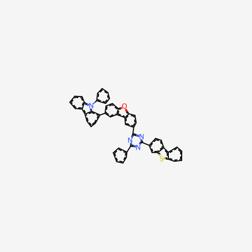 c1ccc(-c2nc(-c3ccc4c(c3)sc3ccccc34)nc(-c3ccc4oc5ccc(-c6cccc7c8ccccc8n(-c8ccccc8)c67)cc5c4c3)n2)cc1